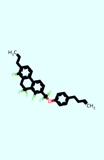 C=CCCc1ccc(OC(F)(F)c2ccc3c(c2F)C(F)(F)Cc2c-3ccc(CCC)c2F)cc1